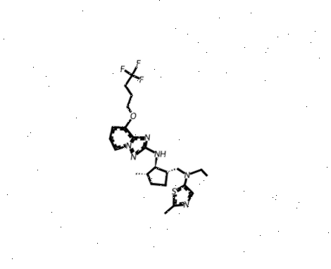 CCN(C[C@@H]1CC[C@H](C)[C@H]1Nc1nc2c(OCCCC(F)(F)F)cccn2n1)c1cnc(C)s1